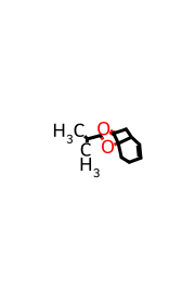 CC(C)COC12CCC=CC1CC2=O